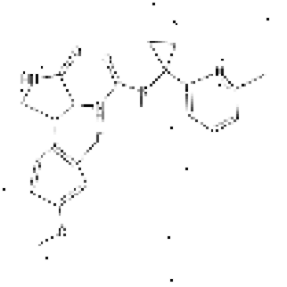 COc1ccc([C@@H]2CNC(=O)[C@H]2NC(=O)NC2(c3cccc(C)n3)CC2)c(F)c1